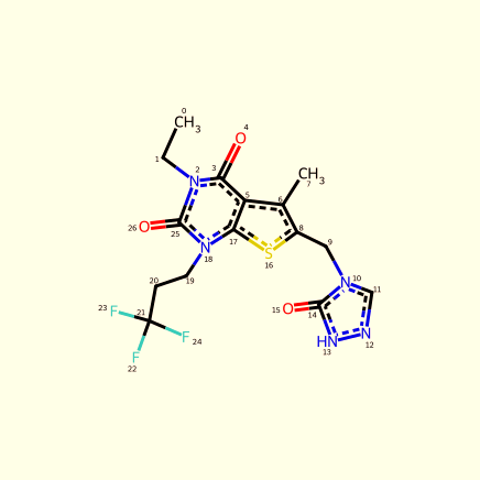 CCn1c(=O)c2c(C)c(Cn3cn[nH]c3=O)sc2n(CCC(F)(F)F)c1=O